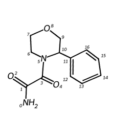 NC(=O)C(=O)N1CCOCC1c1ccccc1